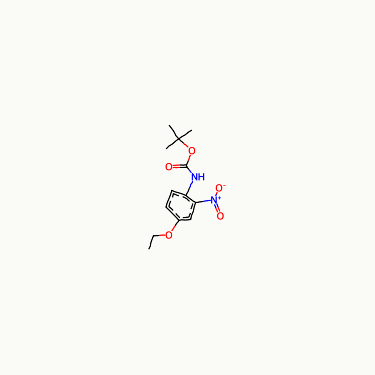 CCOc1ccc(NC(=O)OC(C)(C)C)c([N+](=O)[O-])c1